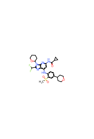 CS(=O)(=O)c1cc(C2CCOCC2)ccc1Nc1cc(NC(=O)C2CC2)nc2c1nc(C(F)F)n2C1CCCCO1